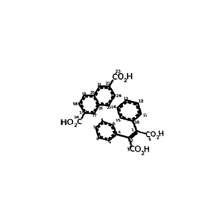 O=C(O)C(=C(C(=O)O)c1ccccc1)c1ccccc1.O=C(O)c1ccc2cc(C(=O)O)ccc2c1